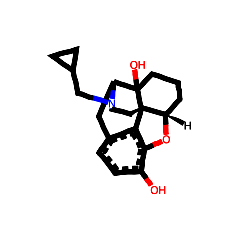 Oc1ccc2c3c1O[C@H]1CCCC4(O)C(C2)N(CC2CC2)CC[C@]314